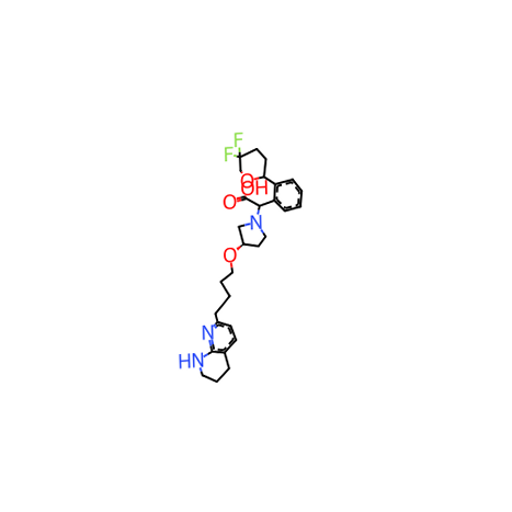 O=C(O)C(c1ccccc1C1CCC(F)(F)CO1)N1CC[C@@H](OCCCCc2ccc3c(n2)NCCC3)C1